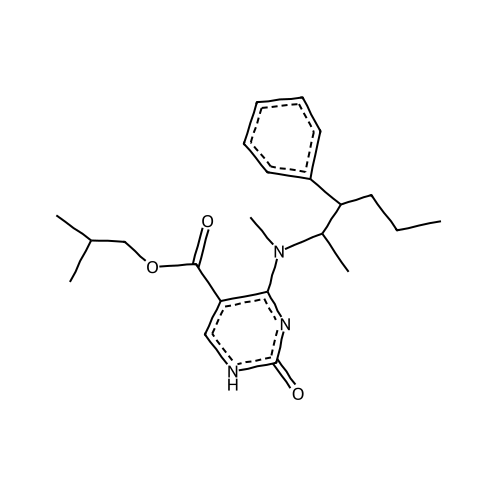 CCCC(c1ccccc1)C(C)N(C)c1nc(=O)[nH]cc1C(=O)OCC(C)C